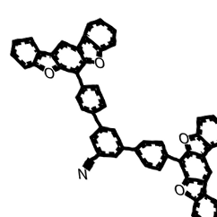 N#Cc1cc(-c2ccc(-c3c4oc5ccccc5c4cc4c3oc3ccccc34)cc2)cc(-c2ccc(-c3c4oc5ccccc5c4cc4c3oc3ccccc34)cc2)c1